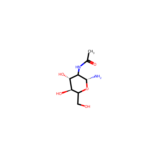 CC(=O)NC1[C@H](N)OC(CO)[C@@H](O)[C@@H]1O